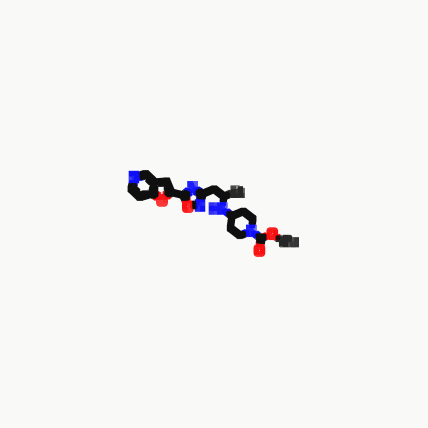 CCC(Cc1noc(-c2cc3cnccc3o2)n1)NC1CCN(C(=O)OC(C)(C)C)CC1